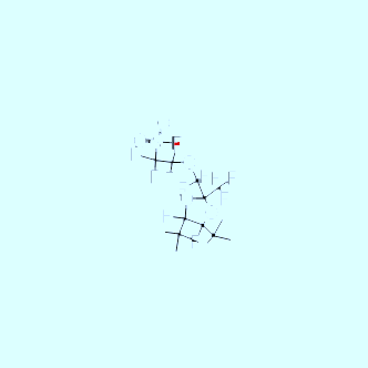 CC(C)(C)C1(F)OC(C(F)(F)F)(C(F)(F)OC(F)(F)C(F)(F)S(=O)(=O)F)OC1(F)C(C)(C)C